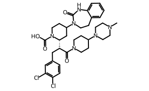 CN1CCN(C2CCN(C(=O)C(Cc3ccc(Cl)c(Cl)c3)[C@H]3CC(N4CCc5ccccc5NC4=O)CCN3C(=O)O)CC2)CC1